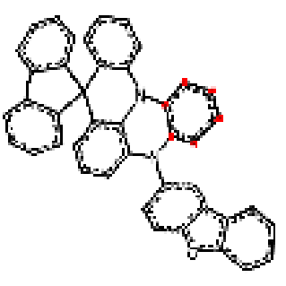 c1ccc(N(c2ccc3oc4ccccc4c3c2)c2cccc3c2N(c2ccccc2)c2ccccc2C32c3ccccc3-c3ccccc32)cc1